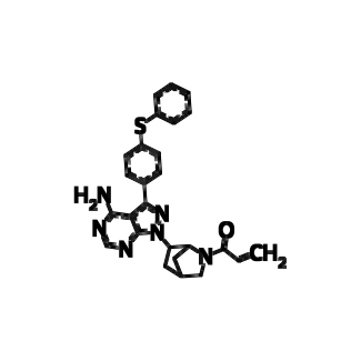 C=CC(=O)N1CC2CC1C(n1nc(-c3ccc(Sc4ccccc4)cc3)c3c(N)ncnc31)C2